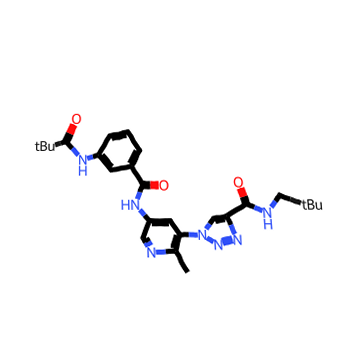 Cc1ncc(NC(=O)c2cccc(NC(=O)C(C)(C)C)c2)cc1-n1cc(C(=O)NCC(C)(C)C)nn1